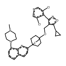 CN1CCN(c2cccc3ccc(C45CCC(OCc6c(-c7c(Cl)cncc7Cl)noc6C6CC6)(CC4)CC5)nc23)CC1